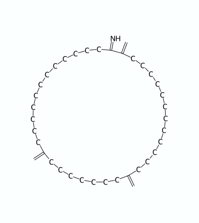 C=C1CCCCCCCCCCCCC(=C)C(=N)CCCCCCCCCCCCC(=C)CCCCCCC1